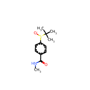 CNC(=O)c1ccc([S+]([O-])C(C)(C)C)cc1